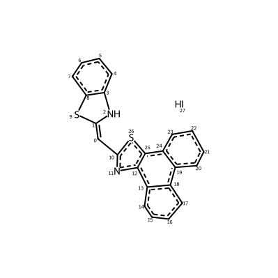 C(=C1Nc2ccccc2S1)c1nc2c3ccccc3c3ccccc3c2s1.I